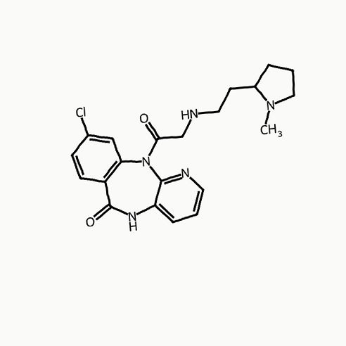 CN1CCCC1CCNCC(=O)N1c2cc(Cl)ccc2C(=O)Nc2cccnc21